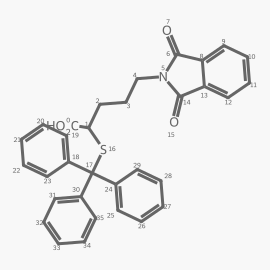 O=C(O)C(CCCN1C(=O)c2ccccc2C1=O)SC(c1ccccc1)(c1ccccc1)c1ccccc1